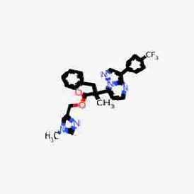 Cn1cnc(COC(=O)C(C)(Cc2ccccc2)c2ccnc3c(-c4ccc(C(F)(F)F)cc4)cnn23)c1